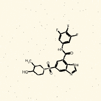 CC1CN(S(=O)(=O)c2cc(C(=O)Nc3cc(F)c(F)c(F)c3)c3[nH]cnc3c2)CCC1O